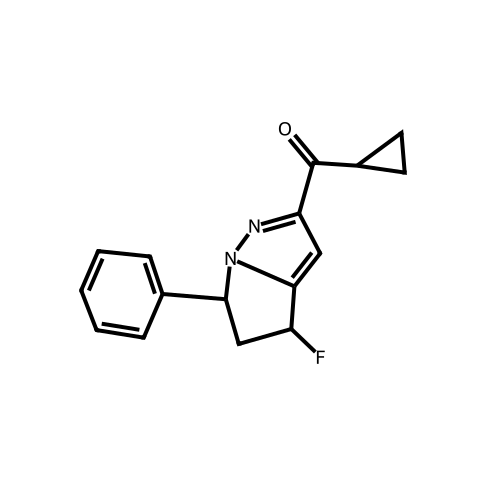 O=C(c1cc2n(n1)C(c1ccccc1)CC2F)C1CC1